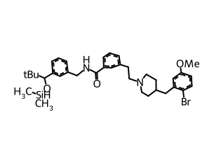 COc1ccc(Br)c(CC2CCN(CCc3cccc(C(=O)NCc4cccc(C(O[SiH](C)C)C(C)(C)C)c4)c3)CC2)c1